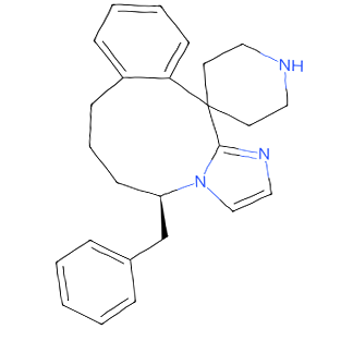 c1ccc(C[C@H]2CCCc3ccccc3C3(CCNCC3)c3nccn32)cc1